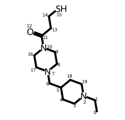 CCN1CCC(CN2CCN(C(=O)CCS)CC2)CC1